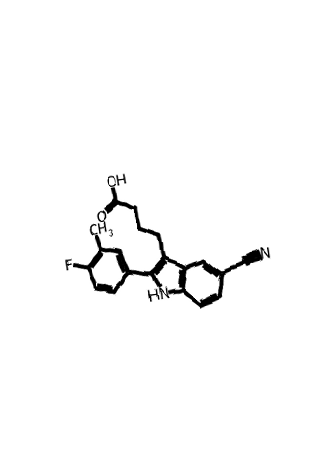 Cc1cc(-c2[nH]c3ccc(C#N)cc3c2CCCC(=O)O)ccc1F